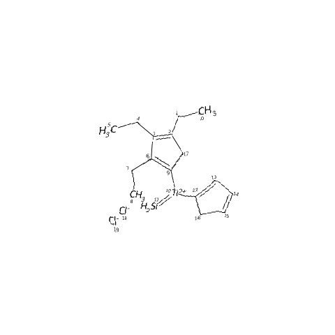 CCC1=C(CC)C(CC)=[C]([Ti+2](=[SiH2])[C]2=CC=CC2)C1.[Cl-].[Cl-]